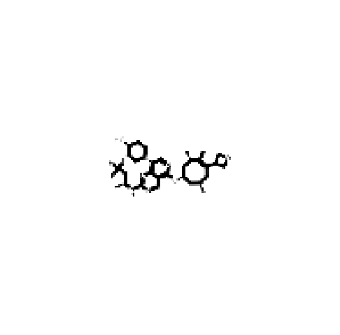 C/C1=C(\C2COC2)C[C@@H](C)C[C@@H](Oc2ncc([C@H]3CC[C@H](O)CC3)c3nc(N[C@@H](C)CC(F)(F)F)ncc23)C[C@H]1C